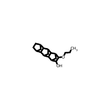 CCCOC1C(O)C2CC1C1C3CC(C4C5CCC(C5)C34)C21